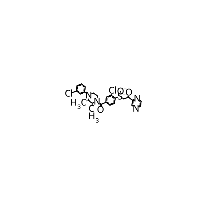 C[C@H]1[C@H](C)N(c2cccc(Cl)c2)CCN1C(=O)c1ccc([S+]([O-])CC(=O)c2cnccn2)c(Cl)c1